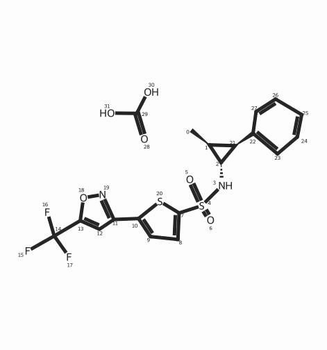 C[C@@H]1[C@@H](NS(=O)(=O)c2ccc(-c3cc(C(F)(F)F)on3)s2)[C@@H]1c1ccccc1.O=C(O)O